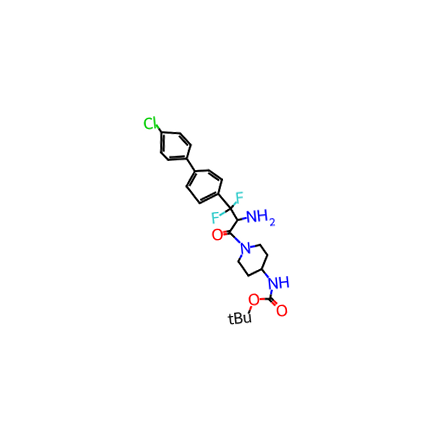 CC(C)(C)OC(=O)NC1CCN(C(=O)C(N)C(F)(F)c2ccc(-c3ccc(Cl)cc3)cc2)CC1